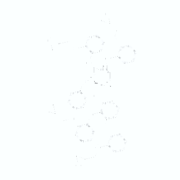 c1ccc(On2p(Oc3cccc(Oc4ccccc4OCC4CO4)c3Oc3ccccc3OCC3CO3)npn(Oc3ccccc3OCC3CO3)p2Oc2ccccc2OCC2CO2)cc1